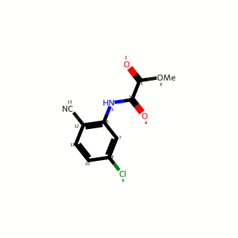 COC(=O)C(=O)Nc1cc(Cl)ccc1C#N